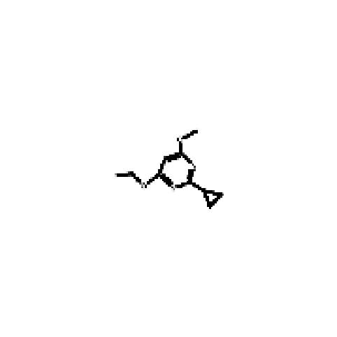 CCOc1cc(OC)nc(C2CC2)n1